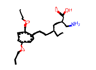 CCOc1ccc(OCC)c(CCC(CC)CC(CN)C(=O)O)c1